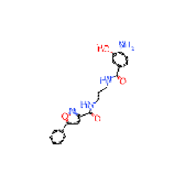 Nc1ccc(C(=O)NCCCNC(=O)c2cc(-c3ccccc3)on2)cc1O